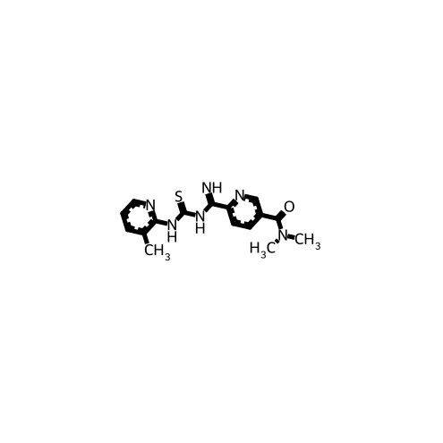 Cc1cccnc1NC(=S)NC(=N)c1ccc(C(=O)N(C)C)cn1